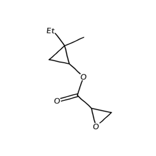 CCC1(C)CC1OC(=O)C1CO1